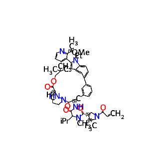 C=CC(=O)N1C[C@@H](C(=O)N(C)C(C(=O)N[C@H]2Cc3cccc(c3)-c3ccc4c(c3)c(c(-c3cccnc3[C@H](C)OC)n4CC)CC(C)(C)COC(=O)[C@@H]3CCCN(N3)C2=O)C(C)C)[C@@H](C(F)(F)F)C1